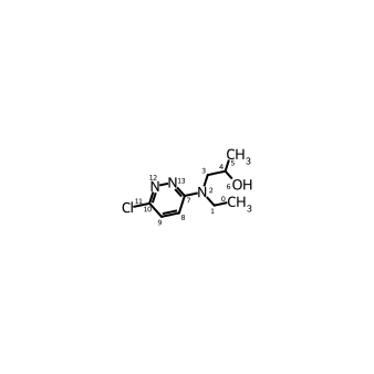 CCN(CC(C)O)c1ccc(Cl)nn1